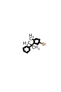 Cc1ccc(Br)cc1C(C)(C)c1ccccc1